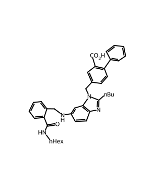 CCCCCCNC(=O)c1ccccc1CNc1ccc2nc(CCCC)n(Cc3ccc(-c4ccccc4)c(C(=O)O)c3)c2c1